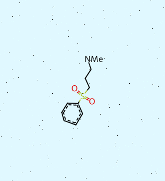 CNCCCS(=O)(=O)c1ccccc1